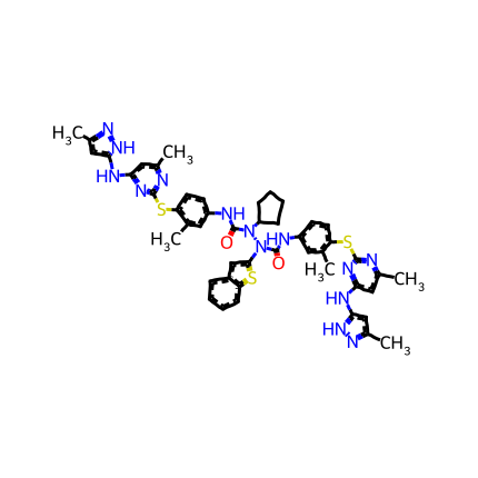 Cc1cc(Nc2cc(C)nc(Sc3ccc(NC(=O)N(c4cc5ccccc5s4)N(C(=O)Nc4ccc(Sc5nc(C)cc(Nc6cc(C)n[nH]6)n5)c(C)c4)C4CCCC4)cc3C)n2)[nH]n1